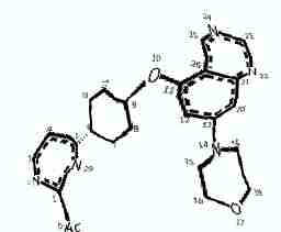 CC(=O)c1nccc([C@H]2CC[C@H](Oc3cc(N4CCOCC4)cc4ncncc34)CC2)n1